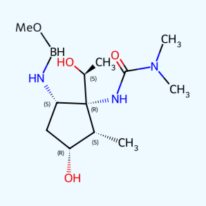 COBN[C@H]1C[C@@H](O)[C@@H](C)[C@]1(NC(=O)N(C)C)[C@H](C)O